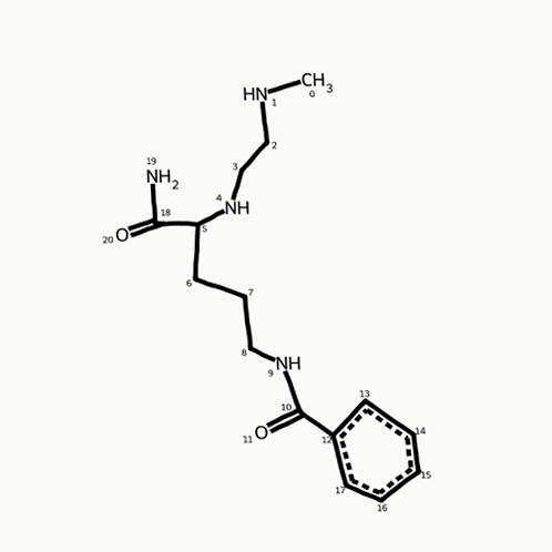 CNCCNC(CCCNC(=O)c1ccccc1)C(N)=O